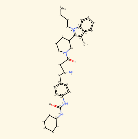 COCCCn1c(C2CCCN(C(=O)C[C@H](N)Cc3ccc(NC(=O)NC4CCCCC4)cc3)C2)c(C)c2ccccc21